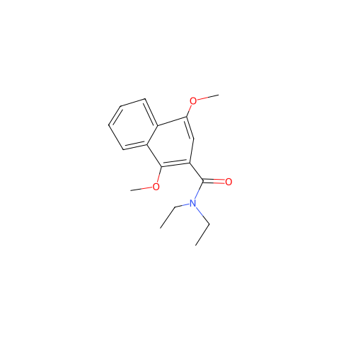 CCN(CC)C(=O)c1cc(OC)c2ccccc2c1OC